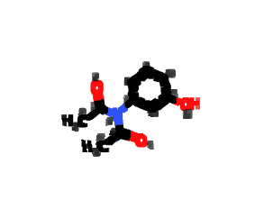 CC(=O)N(C(C)=O)c1cccc(O)c1